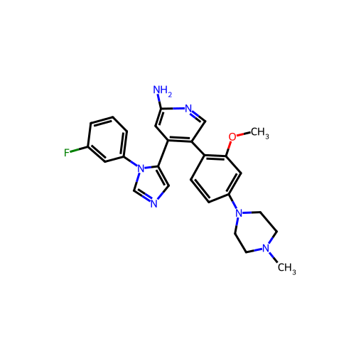 COc1cc(N2CCN(C)CC2)ccc1-c1cnc(N)cc1-c1cncn1-c1cccc(F)c1